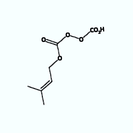 CC(C)=CCOC(=O)OOC(=O)O